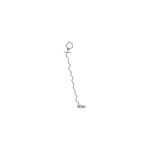 CCCCCCCCCCCCCCCCCCCCCCCCCCC(C)(C)N1CCCC1